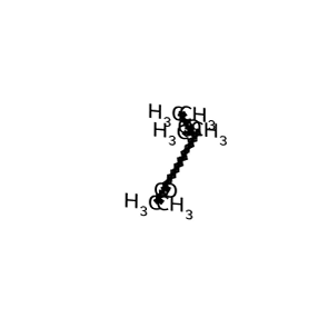 CCC(CCCCCCCCCCCCCCCCC(=O)OCCC(C)C)C(CC)C(=O)OCCC(C)C